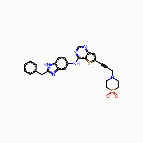 O=S1(=O)CCN(CC#Cc2cc3ncnc(Nc4ccc5[nH]c(Cc6ccccc6)nc5c4)c3s2)CC1